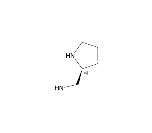 [NH]C[C@@H]1CCCN1